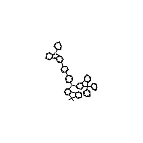 CC1(C)c2ccccc2-c2c(N(c3ccc(-c4ccc(-c5ccc6c(c5)c5ccccc5n6-c5ccccc5)cc4)cc3)c3ccc4c(c3)-c3ccccc3C4(c3ccccc3)c3ccccc3)cccc21